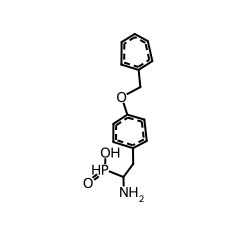 NC(Cc1ccc(OCc2ccccc2)cc1)[PH](=O)O